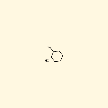 Cl.[Sn][CH]1CCCCC1